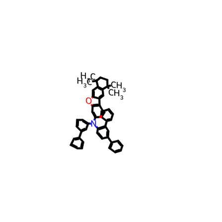 CC1(C)CCC(C)(C)c2cc3c(cc21)oc1cc(N(c2cccc(-c4ccccc4)c2)c2ccc(-c4ccccc4)cc2-c2ccccc2)ccc13